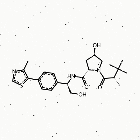 Cc1ncsc1-c1ccc([C@H](CO)NC(=O)[C@@H]2C[C@@H](O)CN2C(=O)[C@@H](C)C(C)(C)C)cc1